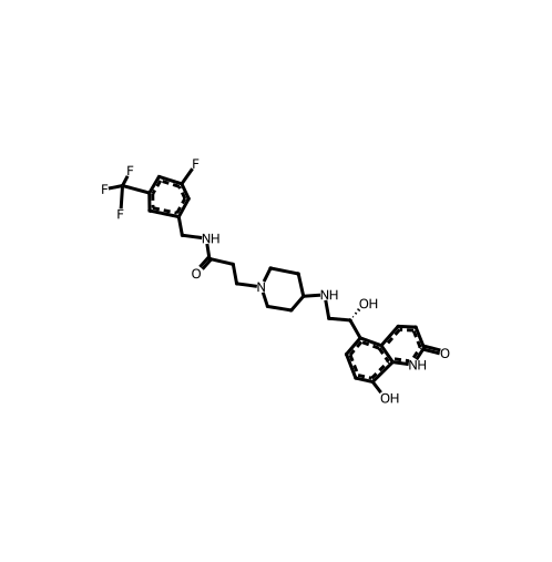 O=C(CCN1CCC(NC[C@H](O)c2ccc(O)c3[nH]c(=O)ccc23)CC1)NCc1cc(F)cc(C(F)(F)F)c1